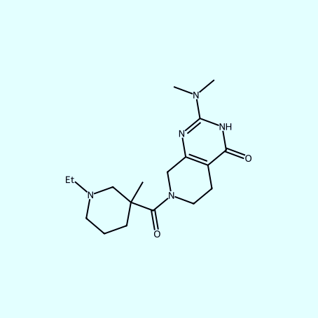 CCN1CCCC(C)(C(=O)N2CCc3c(nc(N(C)C)[nH]c3=O)C2)C1